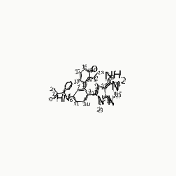 C=C(C)C(=O)Nc1ccc(-c2c(-c3coc4ccccc34)c3c(N)ncnc3n2C)cc1